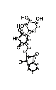 O=C1c2ccccc2C(=O)N1CCc1cn(C2OC[C@@H](O)[C@@H](O)[C@H]2O)c(=O)[nH]c1=O